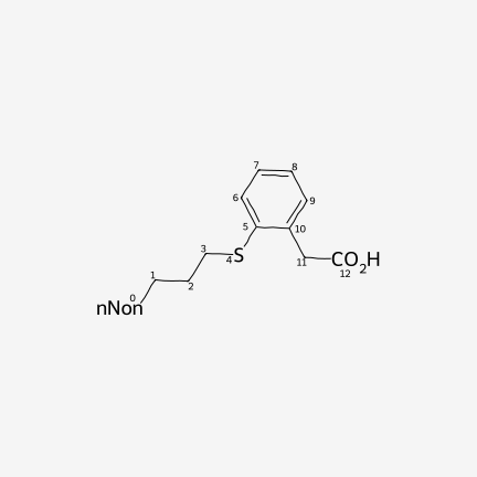 CCCCCCCCCCCCSc1ccccc1CC(=O)O